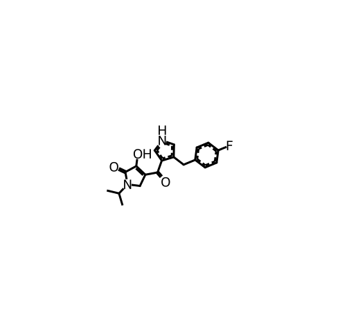 CC(C)N1CC(C(=O)c2c[nH]cc2Cc2ccc(F)cc2)=C(O)C1=O